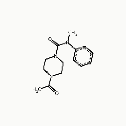 CC(=O)N1CCN(C(=O)N(C)c2ccccc2)CC1